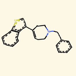 C1=C(c2csc3ccccc23)CCN(Cc2ccccc2)C1